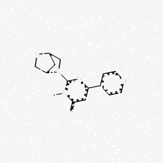 Cl.Cn1c(N2CC3CC2CN3)nc(-c2ccncc2)cc1=O